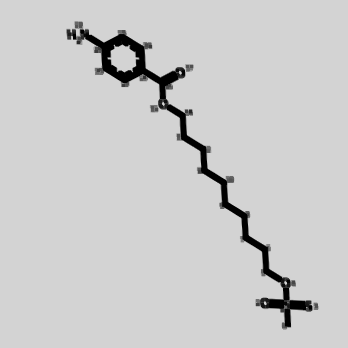 CS(=O)(=S)OCCCCCCCCCCOC(=O)c1ccc(N)cc1